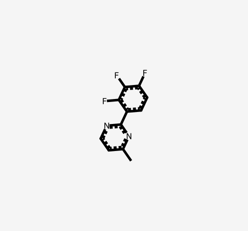 Cc1ccnc(-c2ccc(F)c(F)c2F)n1